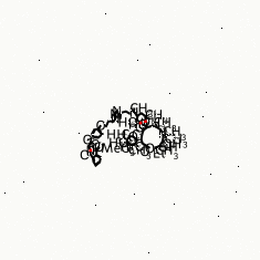 CC[C@H]1OC(=O)[C@H](C)[C@@H](C2C[C@@](C)(OC)[C@@H](O)[C@H](C)O2)[C@H](C)[C@@H](O[C@@H]2O[C@H](C)C[C@H](N(C)CCc3cn(CCCOc4ccc(S(=O)(=O)CN5C(=O)c6ccccc6C5=O)cc4)nn3)[C@H]2O)[C@](C)(O)C[C@@H](C)CN(C)[C@H](C)[C@@H](O)[C@]1(C)O